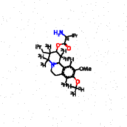 [2H]c1c2c(c([2H])c(OC)c1OC([2H])([2H])[2H])C1N(CC2)C([2H])([2H])C([2H])(CC(C)C)C(OC(=O)[C@@H](N)C(C)C)C1([2H])[2H]